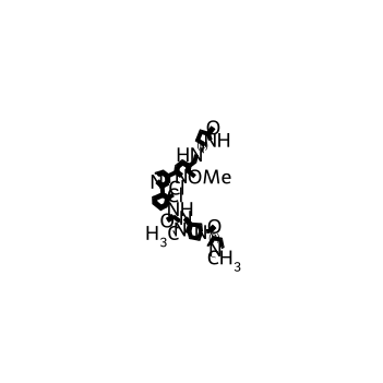 COc1nc(-c2ccnc(-c3cccc(NC(=O)c4nc5c(n4C)CCN(C(=O)[C@@H]4CCN(C)C4)C5)c3Cl)c2Cl)ccc1CNC[C@H]1CCC(=O)N1